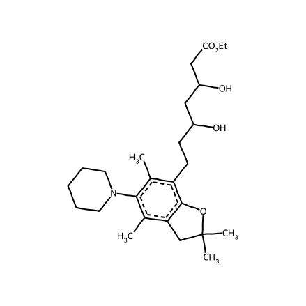 CCOC(=O)CC(O)CC(O)CCc1c(C)c(N2CCCCC2)c(C)c2c1OC(C)(C)C2